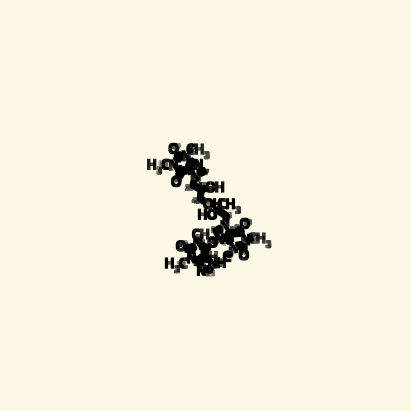 CC(O)Cn1cnc2c1c(=O)n(C)c(=O)n2C.Cn1c(=O)c2[nH]cnc2n(C)c1=O.Cn1c(=O)c2c(ncn2CC(O)CO)n(C)c1=O